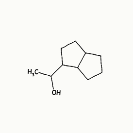 CC(O)C1CCC2CCCC21